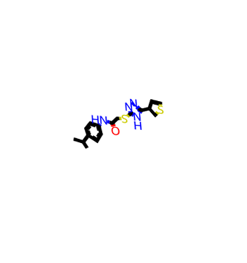 CC(C)c1ccc(NC(=O)CSc2nnc(C3C=CSC3)[nH]2)cc1